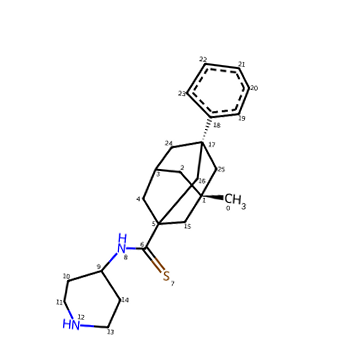 C[C@]12CC3CC(C(=S)NC4CCNCC4)(C1)C[C@@](c1ccccc1)(C3)C2